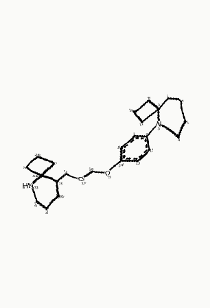 c1cc(N2CCCCC23CCC3)ccc1OCOCC1CCCNC12CCC2